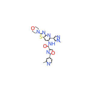 Cc1cc(-c2nc(C(=O)Nc3cc4sc(N5CCOCC5)nc4nc3-c3cnn(C)c3)co2)ccn1